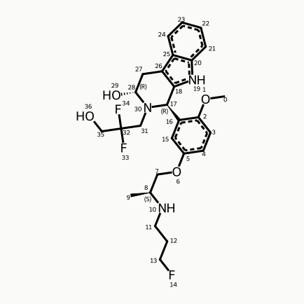 COc1ccc(OC[C@H](C)NCCCF)cc1[C@@H]1c2[nH]c3ccccc3c2C[C@@H](O)N1CC(F)(F)CO